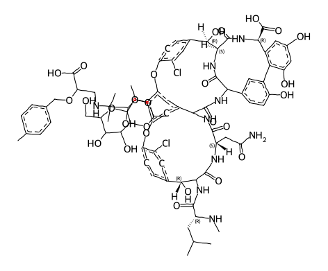 CN[C@H](CC(C)C)C(=O)NC1C(=O)N[C@@H](CC(N)=O)C(=O)NC2C(=O)NC3C(=O)N[C@H](C(=O)N[C@@H](C(=O)O)c4cc(O)cc(O)c4-c4cc3ccc4O)[C@H](O)c3ccc(c(Cl)c3)Oc3cc2cc(c3OC2OC(CO)C(O)C(O)C2OC(C)OC(C)C(O)C(C)(C)NCC(OCc2ccc(C)cc2)C(=O)O)Oc2ccc(cc2Cl)[C@H]1O